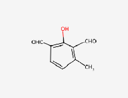 Cc1ccc(C=O)c(O)c1C=O